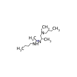 CCCCN/C(C)=N/C(C)CN(CC)CCCC